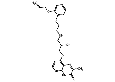 C=CCOc1ccccc1OCCNCC(O)COc1cccc2[nH]c(=O)c(C)nc12